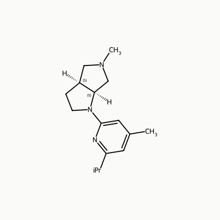 Cc1cc(C(C)C)nc(N2CC[C@H]3CN(C)C[C@H]32)c1